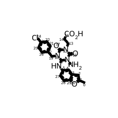 Cc1cc2cc(NC3N(N)C(=O)N(CCC(=O)O)C(=O)N3Cc3ccc(Cl)cc3)ccc2o1